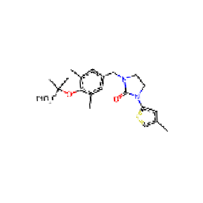 CCOC(=O)C(C)(C)Oc1c(C)cc(CN2CCN(c3cc(C)cs3)C2=O)cc1C